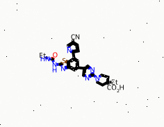 CCNC(=O)Nc1nc2cc(-c3cnc(N4CCC(CC)(C(=O)O)CC4)nc3)cc(-c3ccc(C#N)cn3)c2s1